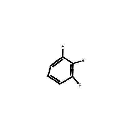 Fc1c[c]cc(F)c1Br